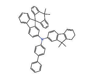 CC1(C)C2=C(C=CCC2)c2ccc(N(c3ccc(-c4ccccc4)cc3)c3ccc4c(c3)C3(c5ccccc5-4)c4ccccc4C(C)(C)c4ccccc43)cc21